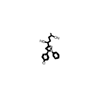 CC(O)CCC(O)c1cc(-c2ccc(Cl)cc2)n(-c2ccccc2)n1